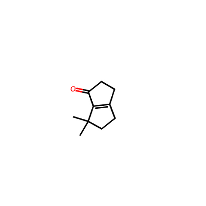 CC1(C)CCC2=C1C(=O)CC2